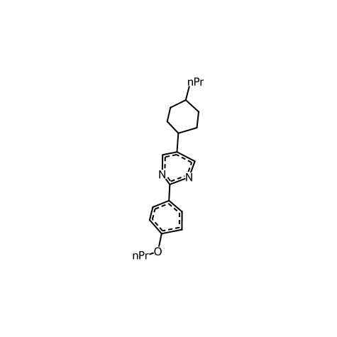 CCCOc1ccc(-c2ncc(C3CCC(CCC)CC3)cn2)cc1